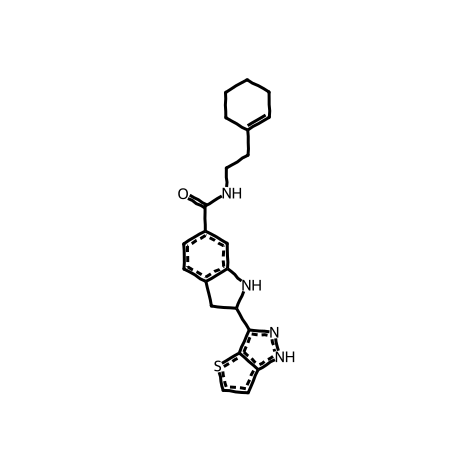 O=C(NCCC1=CCCCC1)c1ccc2c(c1)NC(c1n[nH]c3ccsc13)C2